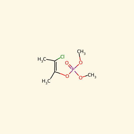 COP(=O)(OC)OC(C)=C(C)Cl